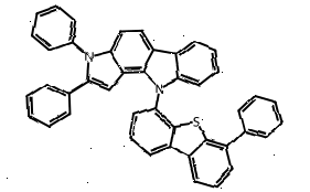 c1ccc(-c2cccc3c2sc2c(-n4c5ccccc5c5ccc6c(cc(-c7ccccc7)n6-c6ccccc6)c54)cccc23)cc1